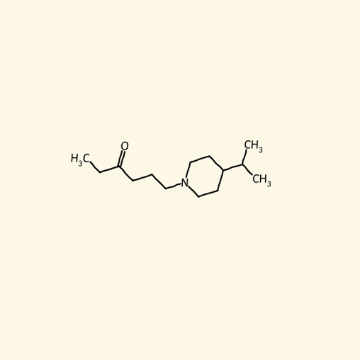 CCC(=O)CCCN1CCC(C(C)C)CC1